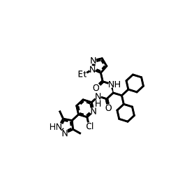 CCn1nccc1C(=O)N[C@H](C(=O)Nc1ccc(-c2c(C)n[nH]c2C)c(Cl)n1)C(C1CCCCC1)C1CCCCC1